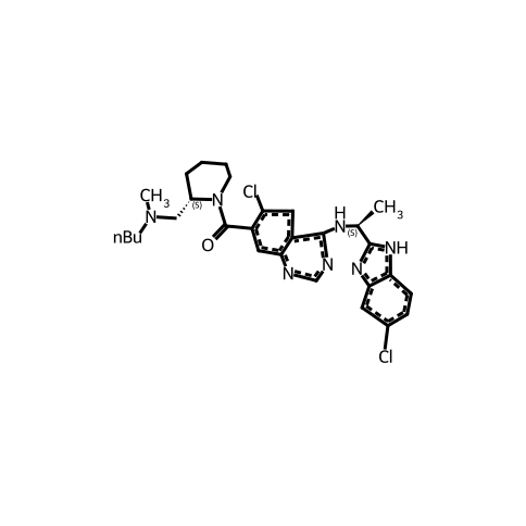 CCCCN(C)C[C@@H]1CCCCN1C(=O)c1cc2ncnc(N[C@@H](C)c3nc4cc(Cl)ccc4[nH]3)c2cc1Cl